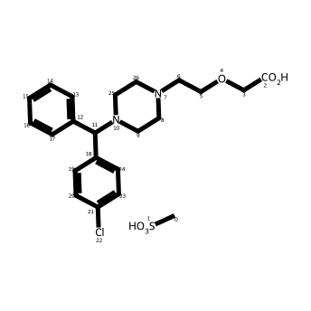 CS(=O)(=O)O.O=C(O)COCCN1CCN(C(c2ccccc2)c2ccc(Cl)cc2)CC1